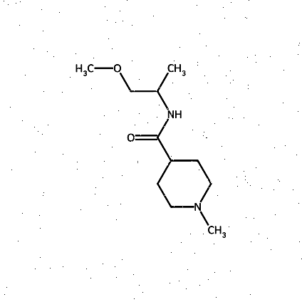 COCC(C)NC(=O)C1CCN(C)CC1